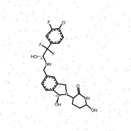 O=C1NC(O)CCC1N1Cc2cc(CN[C@H](O)C(F)(F)c3ccc(Cl)c(F)c3)ccc2[C@@H]1O